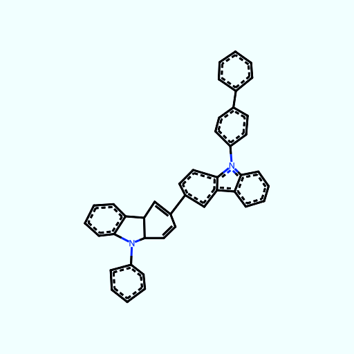 C1=CC2C(C=C1c1ccc3c(c1)c1ccccc1n3-c1ccc(-c3ccccc3)cc1)c1ccccc1N2c1ccccc1